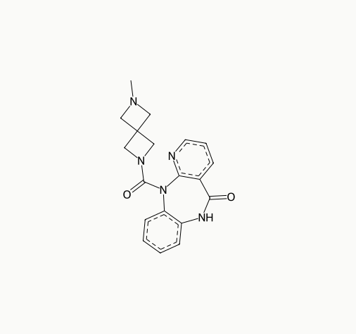 CN1CC2(C1)CN(C(=O)N1c3ccccc3NC(=O)c3cccnc31)C2